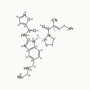 CC(C)C/C=C(\C#N)C(=O)N1CCC[C@@H]1Cn1c(NC(=O)c2ccno2)nc2cc(CNCC(C)(C)C)ccc21